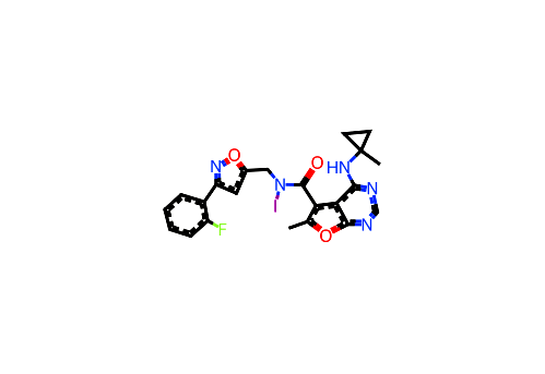 Cc1oc2ncnc(NC3(C)CC3)c2c1C(=O)N(I)Cc1cc(-c2ccccc2F)no1